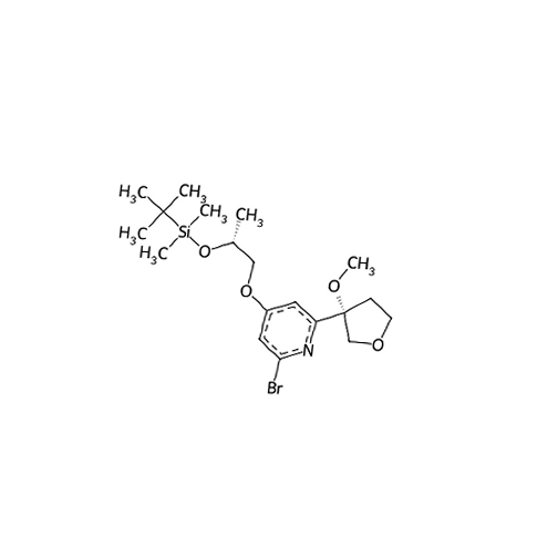 CO[C@]1(c2cc(OC[C@@H](C)O[Si](C)(C)C(C)(C)C)cc(Br)n2)CCOC1